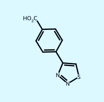 O=C(O)c1ccc(-c2csnn2)cc1